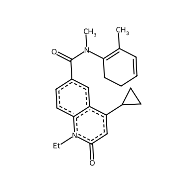 CCn1c(=O)cc(C2CC2)c2cc(C(=O)N(C)C3=C(C)C=CCC3)ccc21